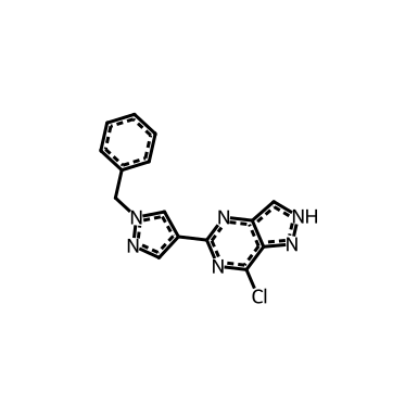 Clc1nc(-c2cnn(Cc3ccccc3)c2)nc2c[nH]nc12